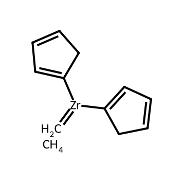 C.[CH2]=[Zr]([C]1=CC=CC1)[C]1=CC=CC1